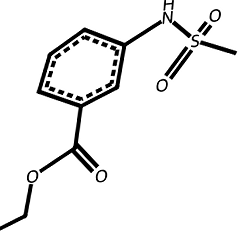 CCOC(=O)c1cccc(NS(C)(=O)=O)c1